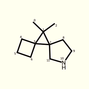 CC1(C)C2(CCC2)C12CCNC2